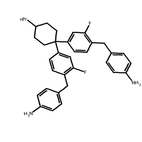 CCCC1CCC(c2ccc(Cc3ccc(N)cc3)c(F)c2)(c2ccc(Cc3ccc(N)cc3)c(F)c2)CC1